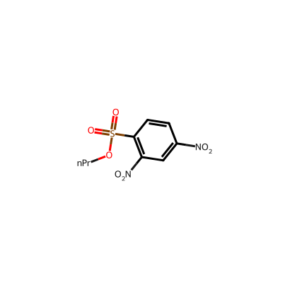 CCCOS(=O)(=O)c1ccc([N+](=O)[O-])cc1[N+](=O)[O-]